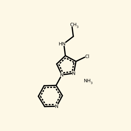 CCNc1cn(-c2cccnc2)nc1Cl.N